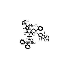 CCC1(O)C[C@H]2CC(OC(Cn3c(=O)n(C(C)(C)C(=O)O[Si](c4ccccc4)(c4ccccc4)C(C)(C)C)c(=O)c4c(C)c(-c5ncco5)sc43)c3ccccc3OC)C[C@H]2C1